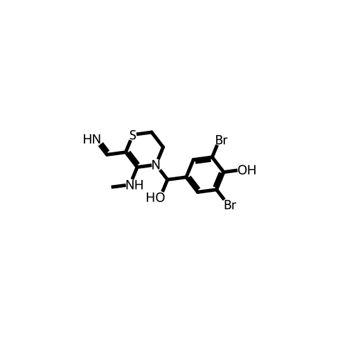 CNC1=C(C=N)SCCN1C(O)c1cc(Br)c(O)c(Br)c1